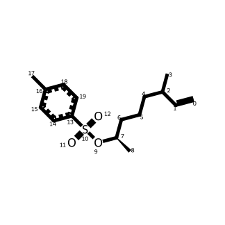 C=CC(C)CCC[C@@H](C)OS(=O)(=O)c1ccc(C)cc1